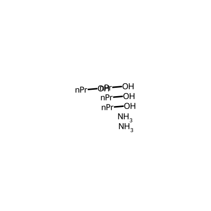 CCCO.CCCO.CCCO.CCCO.N.N